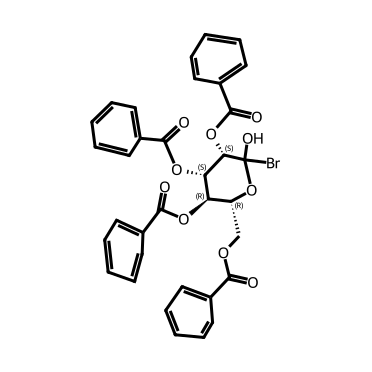 O=C(OC[C@H]1OC(O)(Br)[C@@H](OC(=O)c2ccccc2)[C@@H](OC(=O)c2ccccc2)[C@@H]1OC(=O)c1ccccc1)c1ccccc1